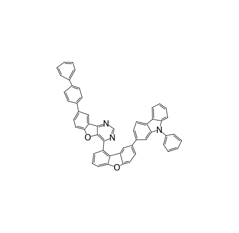 c1ccc(-c2ccc(-c3ccc4oc5c(-c6cccc7oc8ccc(-c9ccc%10c%11ccccc%11n(-c%11ccccc%11)c%10c9)cc8c67)ncnc5c4c3)cc2)cc1